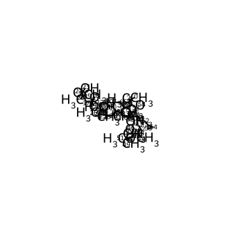 CC(C)C1=C2[C@H]3CC[C@@H]4[C@@]5(C)CC[C@H](OC(=O)CC(C)(C)C(=O)O)C(C)(C)[C@@H]5CC[C@@]4(C)[C@]3(C)CC[C@@]2([C@@H](O)CN(CCN(C)C(=O)OC(C)(C)C)CC2CC2)CC1=O